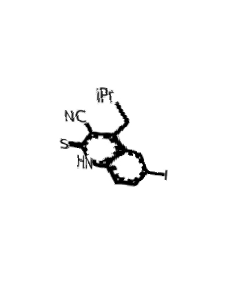 CC(C)Cc1c(C#N)c(=S)[nH]c2ccc(I)cc12